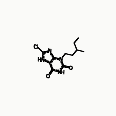 CCC(C)CCn1c(=O)[nH]c(=O)c2[nH]c(Cl)nc21